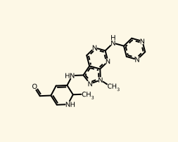 CC1NC=C(C=O)C=C1Nc1nn(C)c2nc(Nc3cncnc3)ncc12